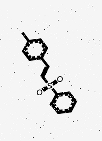 Cc1ccc(C=CS(=O)(=O)c2ccccc2)cc1